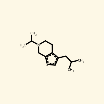 CC(C)Cc1csc2c1CCN(C(C)C)C2